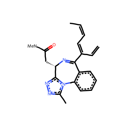 C=C/C(=C\C=C/C)C1=N[C@@H](CC(=O)NC)c2nnc(C)n2-c2ccccc21